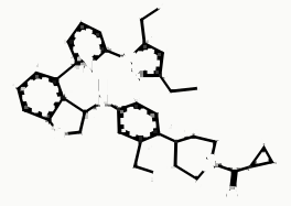 CCc1cc(CC)n(-c2cccc(-c3cccc4c3C(Nc3ccc(C5CCN(C(=O)C6CC6)CC5)c(CC)c3)CO4)n2)n1